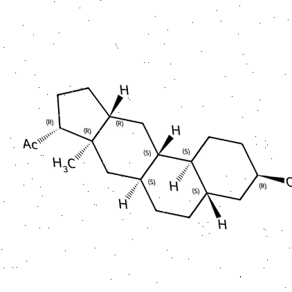 CC(=O)[C@@H]1CC[C@@H]2C[C@H]3[C@@H](CC[C@H]4C[C@H](O)CC[C@@H]43)C[C@]21C